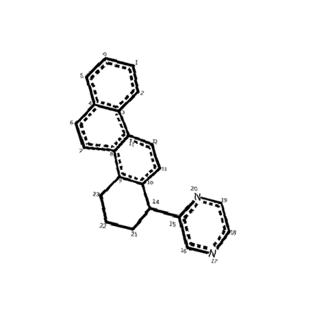 c1ccc2c(c1)ccc1c3c(ccc12)C(c1cnccn1)CCC3